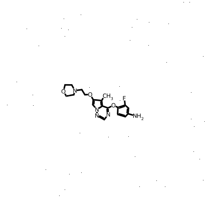 Cc1c(OCCN2CCOCC2)cn2ncnc(Oc3ccc(N)cc3F)c12